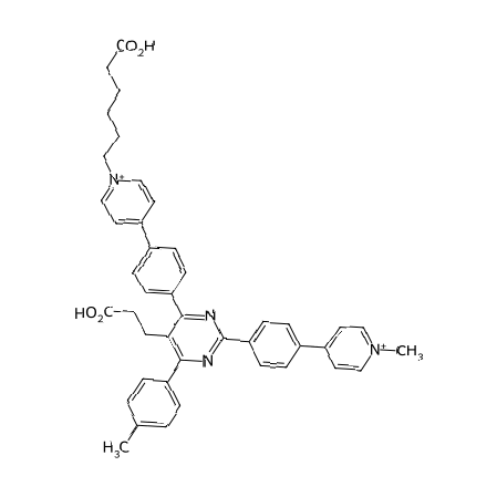 Cc1ccc(-c2nc(-c3ccc(-c4cc[n+](C)cc4)cc3)nc(-c3ccc(-c4cc[n+](CCCCCC(=O)O)cc4)cc3)c2CCC(=O)O)cc1